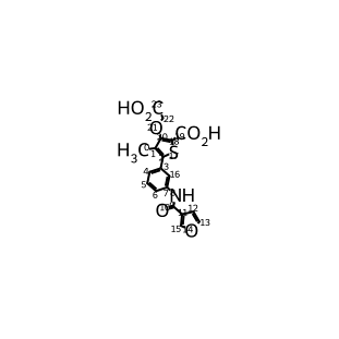 Cc1c(-c2cccc(NC(=O)c3ccoc3)c2)sc(C(=O)O)c1OCC(=O)O